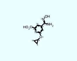 N/C(=N\O)c1cc(OC2CC2)nc(C(=O)O)c1